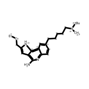 CCOCc1cc2c(N)nc3ccc(CCCCCN(C)C(C)(C)C)cc3c2[nH]1